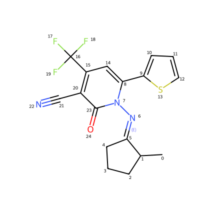 CC1CCC/C1=N\n1c(-c2cccs2)cc(C(F)(F)F)c(C#N)c1=O